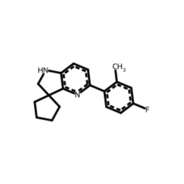 Cc1cc(F)ccc1-c1ccc2c(n1)C1(CCCC1)CN2